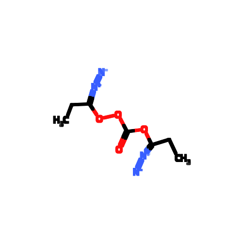 CCC(=[N+]=[N-])OOC(=O)OC(CC)=[N+]=[N-]